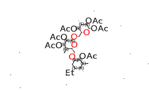 CC[C@H]1C[C@@H](OCC2O[C@@H](OCC3OC(OC(C)=O)[C@H](OC(C)=O)[C@@H](C)[C@@H]3OC(C)=O)[C@H](OC(C)=O)[C@@H](OC(C)=O)[C@@H]2C)[C@H](OC(C)=O)[C@@H](C)[C@@H]1C